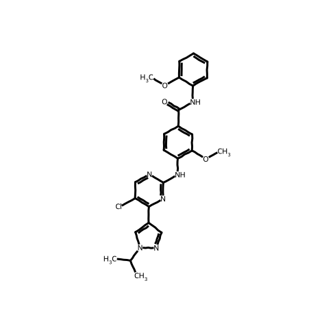 COc1ccccc1NC(=O)c1ccc(Nc2ncc(Cl)c(-c3cnn(C(C)C)c3)n2)c(OC)c1